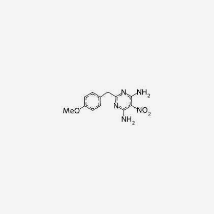 COc1ccc(Cc2nc(N)c([N+](=O)[O-])c(N)n2)cc1